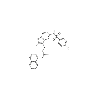 Cc1oc2ccc(NS(=O)(=O)c3ccc(Cl)cc3)cc2c1CCN(C)Cc1ccnc2ccccc12